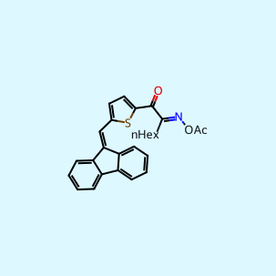 CCCCCC/C(=N\OC(C)=O)C(=O)c1ccc(C=C2c3ccccc3-c3ccccc32)s1